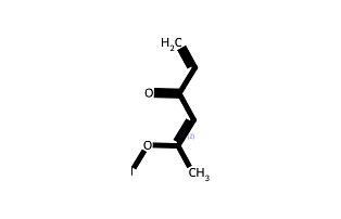 C=CC(=O)/C=C(/C)OI